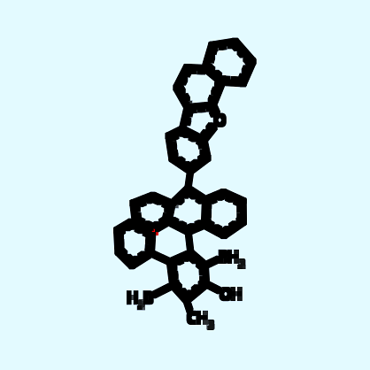 Bc1c(C)c(O)c(B)c(-c2c3ccccc3c(-c3ccc4c(c3)oc3c5ccccc5ccc43)c3ccccc23)c1-c1ccccc1